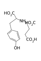 NC(Cc1ccc(O)cc1)C(=O)O.O=C(O)CCC(=O)O